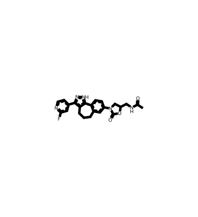 CC(=O)NCC1CN(c2ccc3c(c2)CCCc2c(-c4ccnc(F)c4)n[nH]c2-3)C(=O)O1